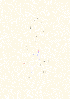 CCN1C(=O)C2CC(c3ccccc3)ON2C1(C)C